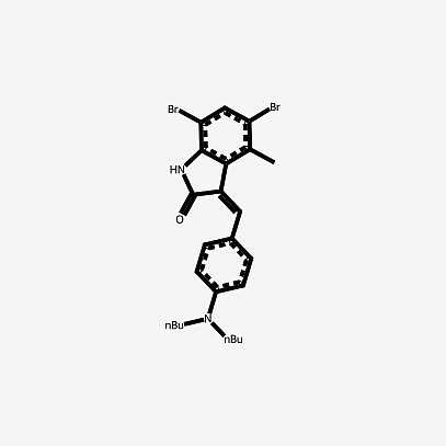 CCCCN(CCCC)c1ccc(C=C2C(=O)Nc3c(Br)cc(Br)c(C)c32)cc1